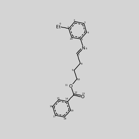 CCc1cccc(N=CCCCOC(=O)c2ccccc2)c1